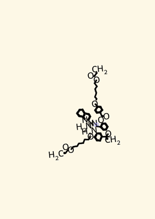 C=CC(=O)OCCCCCCOc1ccc(C(=C)Oc2ccc(OC(=O)c3ccc(OCCCCCCOC(=O)C=C)cc3)c(/C(N)=N/N(N)c3ccc4ccccc4n3)c2)cc1